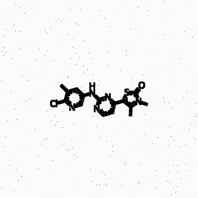 Cc1cc(Nc2nccc(-c3sc(=O)n(C)c3C)n2)cnc1Cl